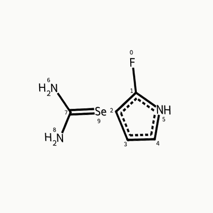 Fc1ccc[nH]1.NC(N)=[Se]